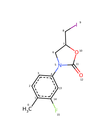 Cc1ccc(N2CC(CI)OC2=O)cc1F